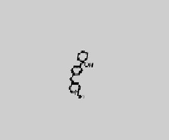 CC(C)N1CCC(=Cc2ccc(C3(O)CCCCC3)cc2)CC1